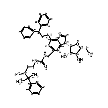 CC(C)N(CCNC(=O)NCc1nc(NCC(c2ccccc2)c2ccccc2)c2ncn([C@@H]3O[C@H](CO)[C@@H](O)[C@@H]3O)c2n1)C(C)(C)c1ccccc1